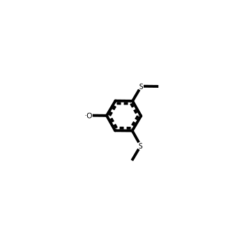 CSc1cc([O])cc(SC)c1